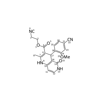 [C-]#[N+]CCOC(=O)C1=C(C)Nc2cc[nH]c(=O)c2C1c1ccc(C#N)cc1OC